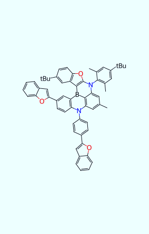 Cc1cc2c3c(c1)N(c1c(C)cc(C(C)(C)C)cc1C)c1oc4ccc(C(C)(C)C)cc4c1B3c1cc(-c3cc4ccccc4o3)ccc1N2c1ccc(-c2cc3ccccc3o2)cc1